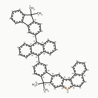 CC1(C)c2ccccc2-c2cc(-c3c4ccccc4c(-c4ccc5c(c4)-c4cc6c(cc4C5(C)C)sc4ccc5ccccc5c46)c4ccccc34)ccc21